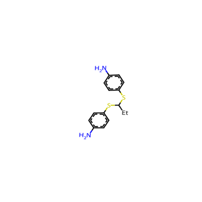 CCC(Sc1ccc(N)cc1)Sc1ccc(N)cc1